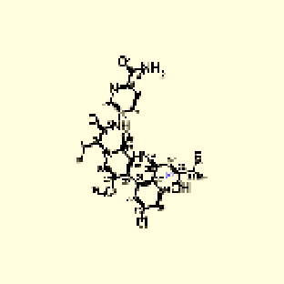 CCC(C(=O)Nc1ccc(C(N)=O)nc1)n1cc(OC)c(-c2cc(Cl)ccc2C(=N)/C=C(\O)C(F)F)cc1=O